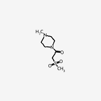 CN1CCN(C(=O)CS(C)(=O)=O)CC1